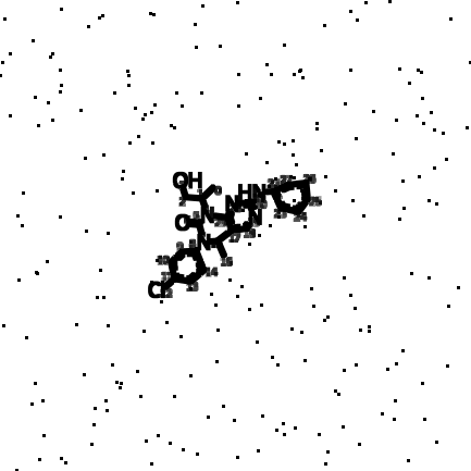 CC(CO)N1C(=O)N(c2ccc(Cl)cc2)C(C)c2cnc(Nc3ccccc3)nc21